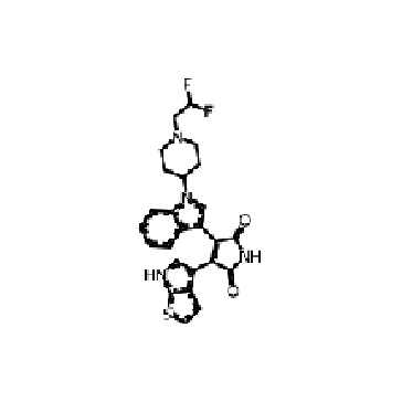 O=C1NC(=O)C(c2cn(C3CCN(CC(F)F)CC3)c3ccccc23)=C1c1c[nH]c2sccc12